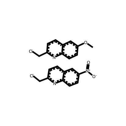 COc1ccc2nc(CCl)ccc2c1.O=[N+]([O-])c1ccc2nc(CCl)ccc2c1